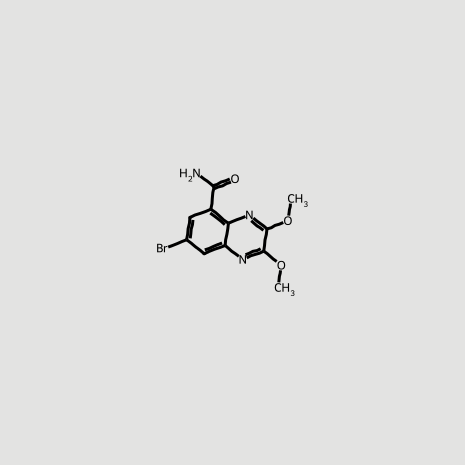 COc1nc2cc(Br)cc(C(N)=O)c2nc1OC